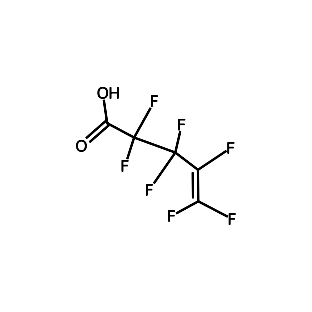 O=C(O)C(F)(F)C(F)(F)C(F)=C(F)F